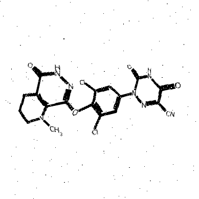 CN1CCCc2c1c(Oc1c(Cl)cc(-n3nc(C#N)c(=O)[nH]c3=O)cc1Cl)n[nH]c2=O